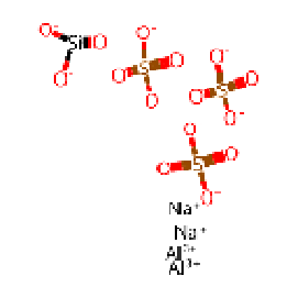 O=S(=O)([O-])[O-].O=S(=O)([O-])[O-].O=S(=O)([O-])[O-].O=[Si]([O-])[O-].[Al+3].[Al+3].[Na+].[Na+]